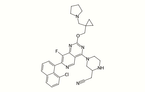 N#CCC1CN(c2nc(OCC3(CN4CCCC4)CC3)nc3c(F)c(-c4cccc5cccc(Cl)c45)ncc23)CCN1